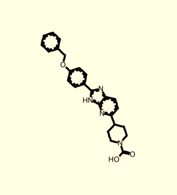 O=C(O)N1CCC(c2ccc3nc(-c4ccc(OCc5ccccc5)cc4)[nH]c3n2)CC1